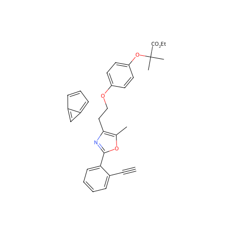 C#Cc1ccccc1-c1nc(CCOc2ccc(OC(C)(C)C(=O)OCC)cc2)c(C)o1.c1cc2cc-2c1